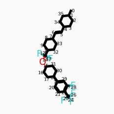 CC1CCC(/C=C/C2CCC(C(F)(F)OC3CCC(c4ccc(C(F)(F)F)c(F)c4)CC3)CC2)CC1